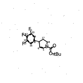 CC(C)(C)OC(=O)N1C=C[C@@H](c2cc(F)c(F)c(F)c2)CC1